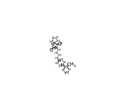 Cc1ccccc1N1CCN(CCCCN2C(=O)SC3(CCCC3)C2=O)CC1